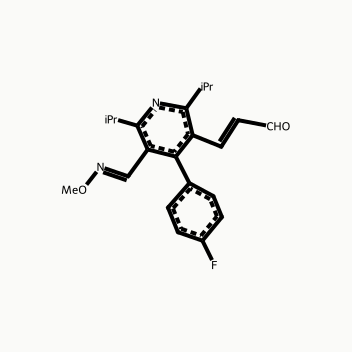 CON=Cc1c(C(C)C)nc(C(C)C)c(/C=C/C=O)c1-c1ccc(F)cc1